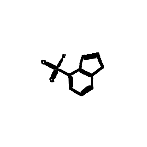 O=S(=O)(F)c1cccc2c1C=CC2